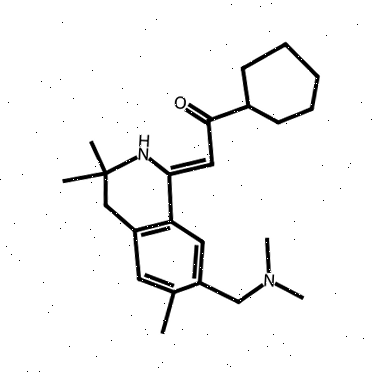 Cc1cc2c(cc1CN(C)C)/C(=C/C(=O)C1CCCCC1)NC(C)(C)C2